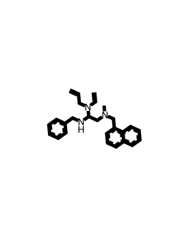 C=CCN(C=C)C(CN(C)Cc1cccc2ccccc12)NCc1ccccc1